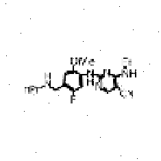 CCCNCc1cc(OC)c(Nc2ncc(C#N)c(NCC)n2)cc1F